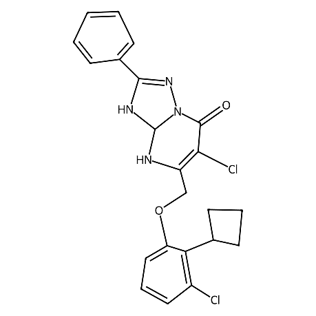 O=C1C(Cl)=C(COc2cccc(Cl)c2C2CCC2)NC2NC(c3ccccc3)=NN12